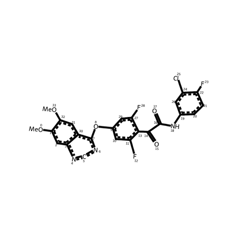 COc1cc2ncnc(Oc3cc(F)c(C(=O)C(=O)Nc4ccc(F)c(Cl)c4)c(F)c3)c2cc1OC